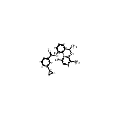 CC(Oc1nc(Cl)cnc1N)c1cccc(NC(=O)c2cccc(C3CC3)c2)c1